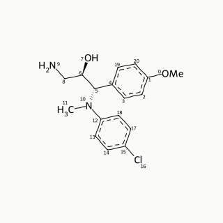 COc1ccc([C@@H]([C@H](O)CN)N(C)c2ccc(Cl)cc2)cc1